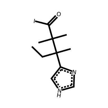 CCC(C)(c1c[nH]cn1)C(C)(C)C(=O)I